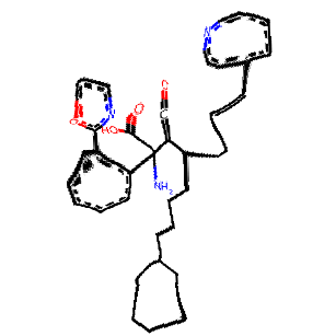 NC(C(=O)O)(C(=C=O)C(CC=Cc1cccnc1)CCCCC1CCCCC1)c1ccccc1-c1ncco1